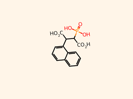 O=C(O)C(c1cccc2ccccc12)C(C(=O)O)P(=O)(O)O